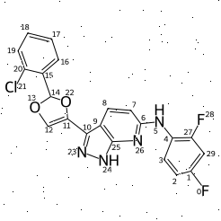 Fc1ccc(Nc2ccc3c(C4=COC(c5ccccc5Cl)O4)n[nH]c3n2)c(F)c1